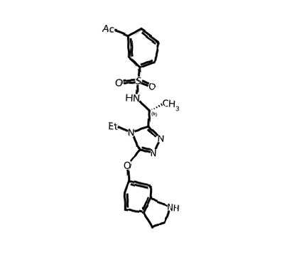 CCn1c(Oc2ccc3c(c2)NCC3)nnc1[C@@H](C)NS(=O)(=O)c1cccc(C(C)=O)c1